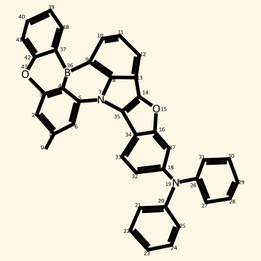 Cc1cc2c3c(c1)-n1c4c(cccc4c4oc5cc(N(c6ccccc6)c6ccccc6)ccc5c41)B3c1ccccc1O2